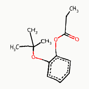 CCC(=O)Oc1ccccc1OC(C)(C)C